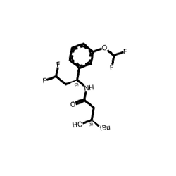 CC(C)(C)[C@@H](O)CC(=O)N[C@@H](CC(F)F)c1cccc(OC(F)F)c1